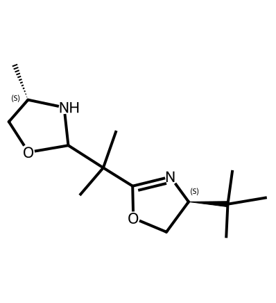 C[C@H]1COC(C(C)(C)C2=N[C@@H](C(C)(C)C)CO2)N1